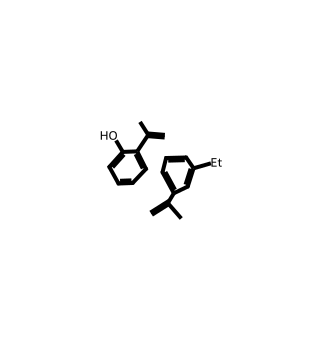 C=C(C)c1cccc(CC)c1.C=C(C)c1ccccc1O